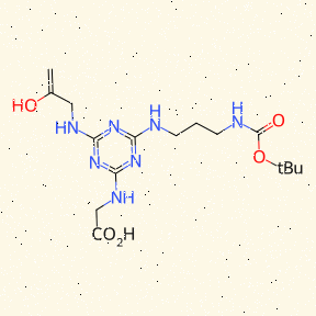 C=C(O)CNc1nc(NCCCNC(=O)OC(C)(C)C)nc(NCC(=O)O)n1